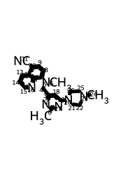 Cc1nc(CN(C)c2ccc(C#N)c3cccnc23)cc(N2CCN(C)CC2)n1